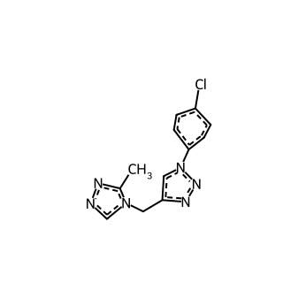 Cc1nncn1Cc1cn(-c2ccc(Cl)cc2)nn1